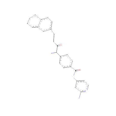 Nc1cc(NC(=O)c2ccc(C(N)C(=O)CCc3ccc4ccccc4c3)cc2)ccn1